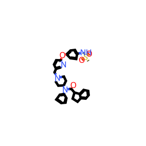 CS(=O)(=O)Nc1ccc(Oc2ccc(CN3CCC(N(C(=O)C4CCc5ccccc54)c4ccccc4)CC3)cn2)cc1